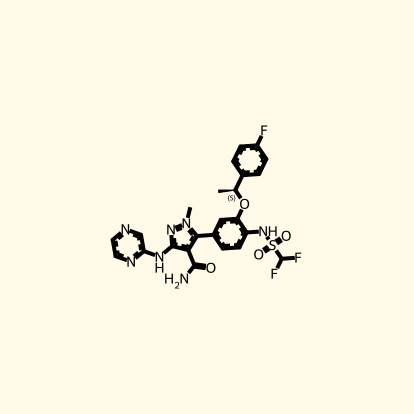 C[C@H](Oc1cc(-c2c(C(N)=O)c(Nc3cnccn3)nn2C)ccc1NS(=O)(=O)C(F)F)c1ccc(F)cc1